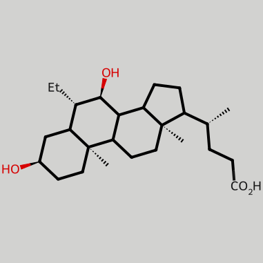 CC[C@H]1C2C[C@H](O)CC[C@]2(C)C2CC[C@@]3(C)C(CCC3[C@H](C)CCC(=O)O)C2[C@@H]1O